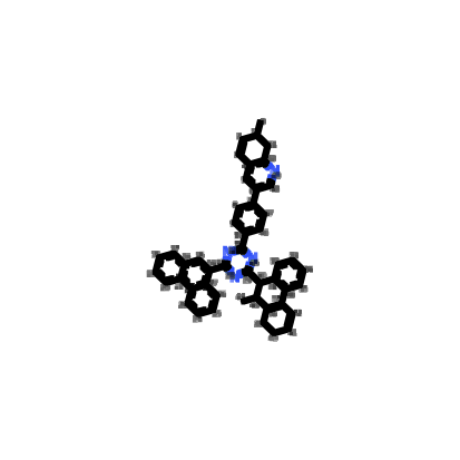 CC1C=Cc2cc(-c3ccc(-c4nc(-c5cc6ccccc6c6ccccc56)nc(C5c6ccccc6C6=C(CCC=C6)C5C)n4)cc3)cnc2C1